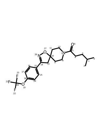 CC(C)CCC(=O)N1CCC2(CC1)CC(c1ccc(OC(F)(F)F)cc1)=NO2